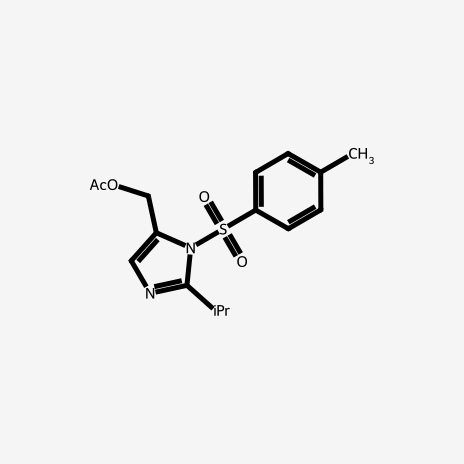 CC(=O)OCc1cnc(C(C)C)n1S(=O)(=O)c1ccc(C)cc1